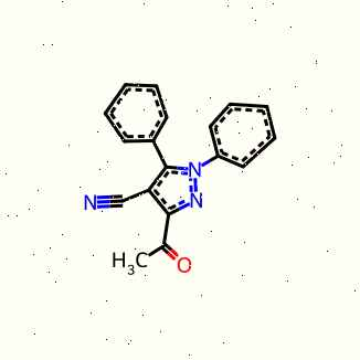 CC(=O)c1nn(-c2ccccc2)c(-c2ccccc2)c1C#N